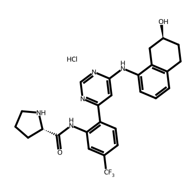 Cl.O=C(Nc1cc(C(F)(F)F)ccc1-c1cc(Nc2cccc3c2C[C@@H](O)CC3)ncn1)[C@@H]1CCCN1